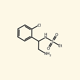 CCS(=O)(=O)NC(CN)c1ccccc1Cl